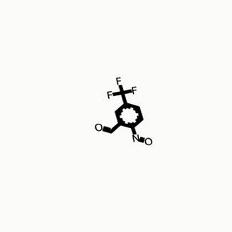 O=Cc1cc(C(F)(F)F)ccc1N=O